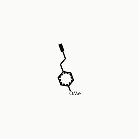 [C]#CCCc1ccc(OC)cc1